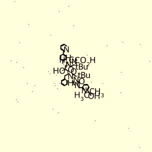 CN(C(=O)O)[C@H](C(=O)N[C@@H](Cc1ccc(-c2ccccn2)cc1)[C@H](O)C[C@H](Cc1ccccc1)NC(=O)[C@@H](N1CCN(Cc2cccc(C(C)(C)O)n2)C1=O)C(C)(C)C)C(C)(C)C